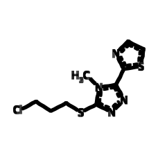 Cn1c(SCCCCl)nnc1-c1nccs1